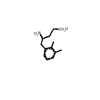 Cc1cccc(CC(CCC(=O)O)[N+](=O)[O-])c1C